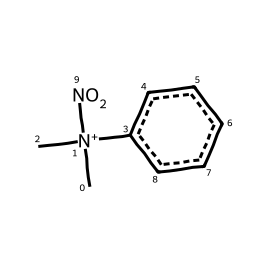 C[N+](C)(c1ccccc1)[N+](=O)[O-]